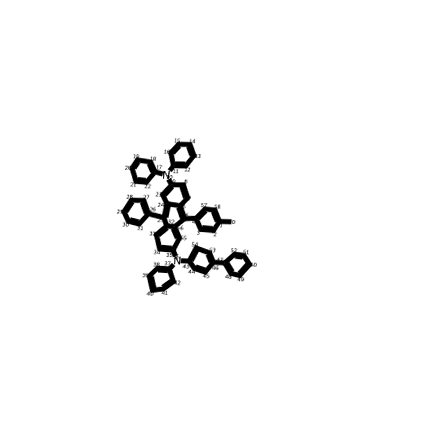 Cc1ccc(-c2c3ccc(N(c4ccccc4)c4ccccc4)cc3c(-c3ccccc3)c3ccc(N(c4ccccc4)c4ccc(-c5ccccc5)cc4)cc23)cc1